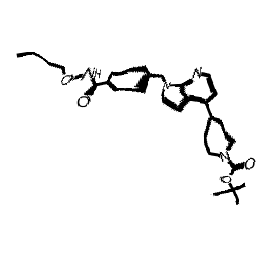 CCCCONC(=O)c1ccc(Cn2ccc3c(C4CCN(C(=O)OC(C)(C)C)CC4)ccnc32)cc1